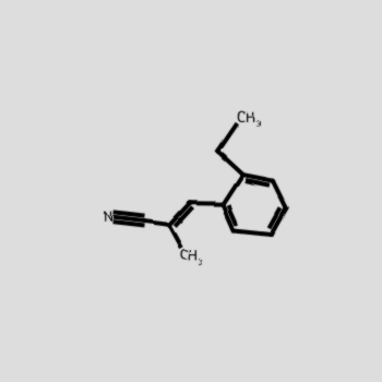 CCc1ccccc1/C=C(\C)C#N